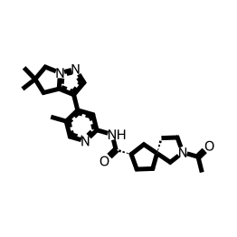 CC(=O)N1CC[C@@]2(CC[C@H](C(=O)Nc3cc(-c4cnn5c4CC(C)(C)C5)c(C)cn3)C2)C1